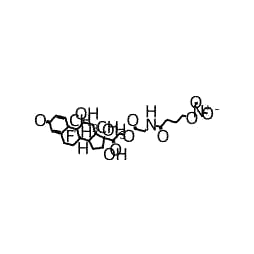 C[C@]12C=CC(=O)C=C1CC[C@H]1[C@@H]3C[C@@H](O)[C@](O)(C(=O)COC(=O)CNC(=O)CCCO[N+](=O)[O-])[C@@]3(C)C[C@H](O)[C@@]12F